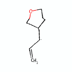 C=C[CH]C1CCOC1